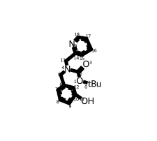 CC(C)(C)OC(=O)N(Cc1cccc(O)c1)Cc1ccccn1